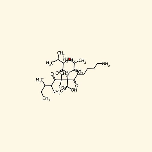 CCC(C)C(N)C(=O)C(C)(C)C(C(=O)O)(C(=O)C(N)CCCCN)N(C(=O)C(C)N)C(=O)C(N)C(C)C